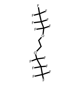 FC(F)(F)C(F)(F)C(F)(F)OCCOC(F)(F)C(F)(F)C(F)(F)F